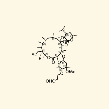 CC[C@H]1OC(=O)[C@H](C)[C@@H](O[C@H]2C[C@@](C)(OC)[C@@H](OCCC=O)[C@H](C)O2)[C@H](C)[C@@H](O[C@@H]2O[C@H](C)C[C@H](N(C)C)[C@H]2O)[C@](C)(O)C[C@@H](C)CN(C)[C@H](C)C(C)[C@]1(C)CC(C)=O